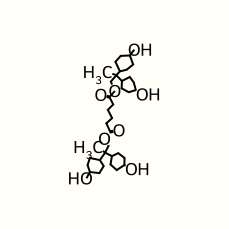 CC(COC(=O)CCCCC(=O)OCC(C)(C1CCC(O)CC1)C1CCC(O)CC1)(C1CCC(O)CC1)C1CCC(O)CC1